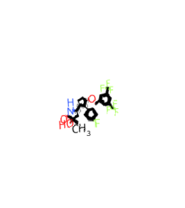 CC[C@@]1(O)C[C@H]([C@@H]2CC[C@H](OCc3cc(C(F)(F)F)cc(C(F)(F)F)c3)[C@H]2c2ccc(F)cc2)NC1=O